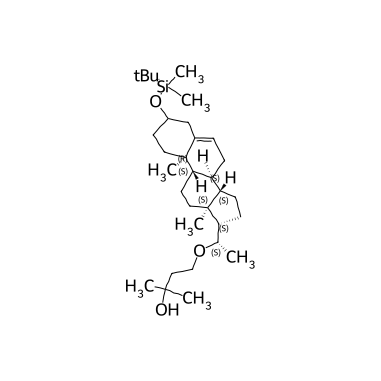 C[C@H](OCCC(C)(C)O)[C@H]1CC[C@H]2[C@@H]3CC=C4CC(O[Si](C)(C)C(C)(C)C)CC[C@]4(C)[C@H]3CC[C@]12C